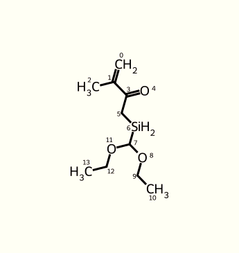 C=C(C)C(=O)C[SiH2]C(OCC)OCC